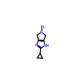 CCN1Cc2nc(C3CC3)[nH]c2C1